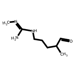 C/N=C(\N)NCCCC(C)C=O